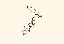 NC1CCN(C(C(=O)O)c2ccc(-n3ccc(NC(=O)N4CCNCC4)nc3=O)cc2)CC1